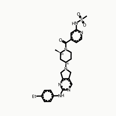 CCc1ccc(Nc2ncc3c(n2)CN([C@@H]2CCN(C(=O)c4ccnc(NS(C)(=O)=O)c4)[C@H](C)C2)C3)cc1